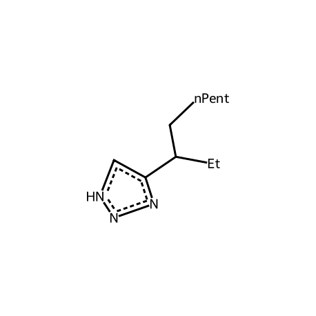 [CH2]CC(CCCCCC)c1c[nH]nn1